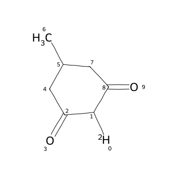 [2H]C1C(=O)CC(C)CC1=O